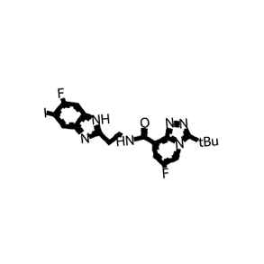 CC(C)(C)c1nnc2c(C(=O)NCCc3nc4cc(I)c(F)cc4[nH]3)cc(F)cn12